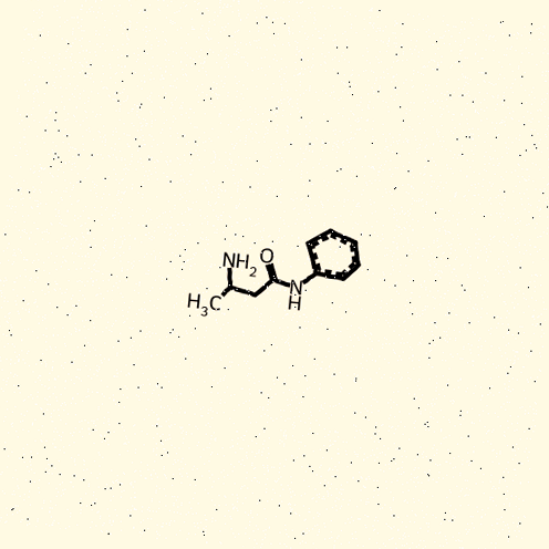 CC(N)CC(=O)Nc1ccccc1